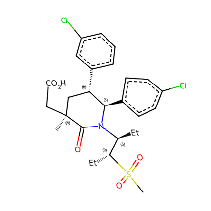 CC[C@H]([C@H](CC)N1C(=O)[C@@](C)(CC(=O)O)C[C@H](c2cccc(Cl)c2)[C@H]1c1ccc(Cl)cc1)S(C)(=O)=O